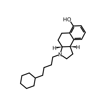 Oc1cccc2c1CC[C@@H]1[C@H]2CCN1CCCCC1CCCCC1